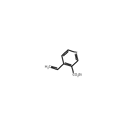 C=Cc1ccncc1C(=O)OCC